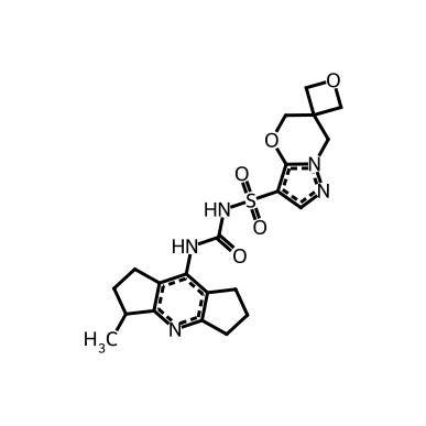 CC1CCc2c1nc1c(c2NC(=O)NS(=O)(=O)c2cnn3c2OCC2(COC2)C3)CCC1